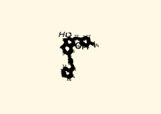 Oc1cc2ccc(C#CCc3ccccc3)cc2c(O)c1Cc1ccc(I)cc1